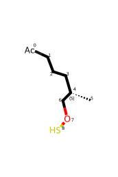 CC(=O)CCC[C@H](C)COS